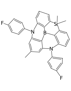 Cc1cc2c3c(c1)N(c1ccc(F)cc1)c1cccc4c1B3c1c(cccc1[Si]4(C)C)N2c1ccc(F)cc1